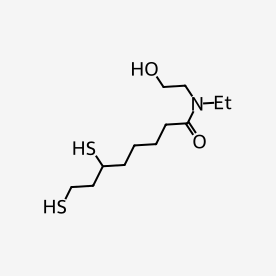 CCN(CCO)C(=O)CCCCC(S)CCS